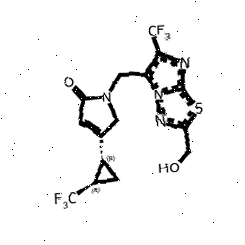 O=C1C=C([C@@H]2C[C@H]2C(F)(F)F)CN1Cc1c(C(F)(F)F)nc2sc(CO)nn12